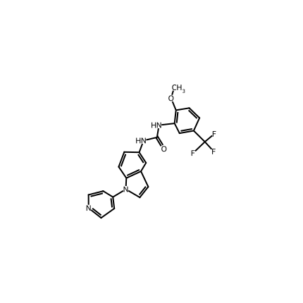 COc1ccc(C(F)(F)F)cc1NC(=O)Nc1ccc2c(ccn2-c2ccncc2)c1